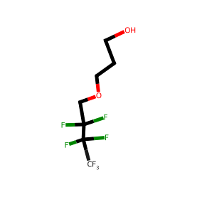 OCCCOCC(F)(F)C(F)(F)C(F)(F)F